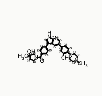 Cc1cc(-c2cnc3[nH]cc(-c4ccc(C(=O)N5CC[C@](C)(O)C5)cc4)c3c2)ccc1N1CCN(C)CC1